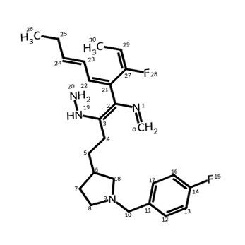 C=NC(=C(CCC1CCN(Cc2ccc(F)cc2)C1)NN)C(=C/C=C/CC)/C(F)=C\C